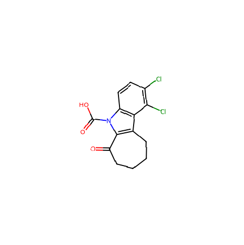 O=C1CCCCc2c1n(C(=O)O)c1ccc(Cl)c(Cl)c21